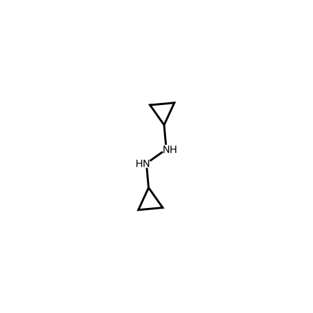 C1CC1NNC1CC1